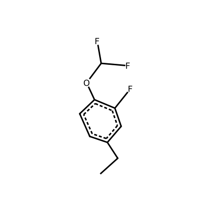 CCc1ccc(OC(F)F)c(F)c1